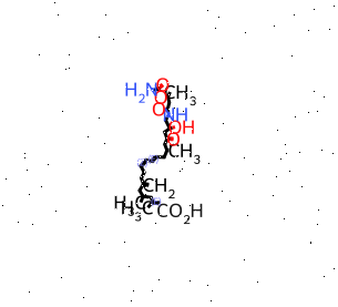 C=C(CC/C=C\C=C\CC(C)CC(=O)CC(O)CNC(=O)CC(C)OC(N)=O)CC(C)C/C(C)=C/C(=O)O